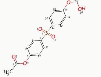 CC(=O)Oc1ccc(S(=O)(=O)c2ccc(OC(C)O)cc2)cc1